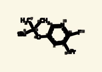 CCCc1cc(O[Si](C)(C)C(C)(C)C)cnc1F